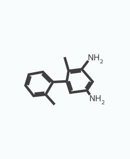 Cc1ccccc1-c1cc(N)cc(N)c1C